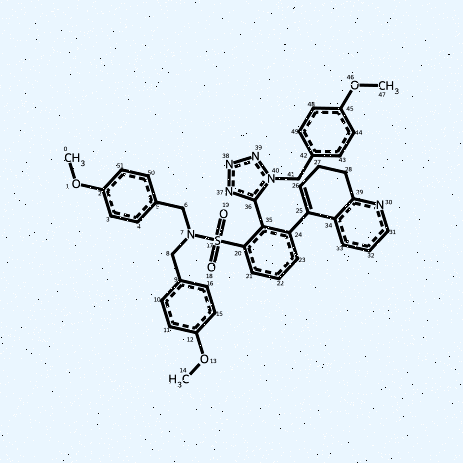 COc1ccc(CN(Cc2ccc(OC)cc2)S(=O)(=O)c2cccc(C3=CCCc4ncccc43)c2-c2nnnn2Cc2ccc(OC)cc2)cc1